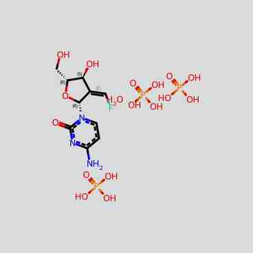 Nc1ccn([C@@H]2O[C@H](CO)[C@@H](O)/C2=C/F)c(=O)n1.O.O=P(O)(O)O.O=P(O)(O)O.O=P(O)(O)O